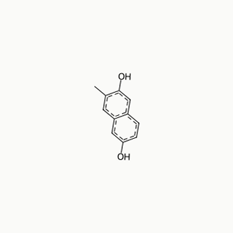 Cc1cc2cc(O)ccc2cc1O